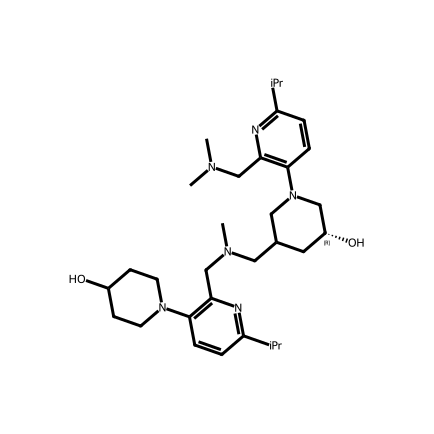 CC(C)c1ccc(N2CCC(O)CC2)c(CN(C)CC2C[C@@H](O)CN(c3ccc(C(C)C)nc3CN(C)C)C2)n1